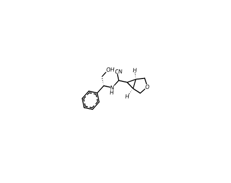 N#CC(N[C@@H](CO)c1ccccc1)C1[C@H]2COC[C@@H]12